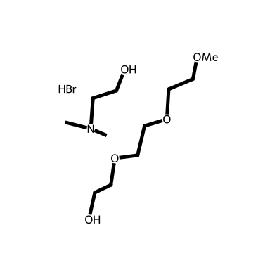 Br.CN(C)CCO.COCCOCCOCCO